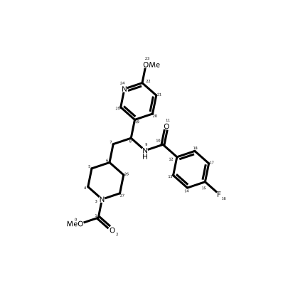 COC(=O)N1CCC(CC(NC(=O)c2ccc(F)cc2)c2ccc(OC)nc2)CC1